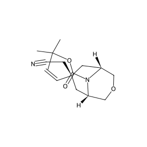 C=C[C@@]1(CC#N)C[C@H]2COC[C@@H](C1)N2C(=O)OC(C)(C)C